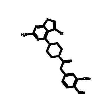 CCc1csc2nc(N)nc(N3CCN(C(=O)Cc4ccc(OC)c(OC)c4)CC3)c12